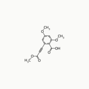 COC(=O)C#Cc1cc(OC)cc(OC)c1C(=O)O